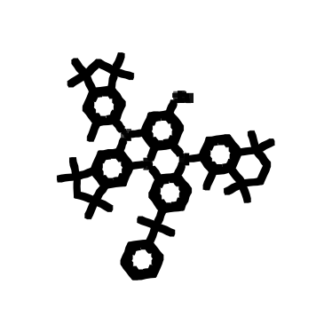 Cc1cc2c(cc1N1c3cc4c(cc3B3c5cc(C(C)(C)c6ccccc6)ccc5N(c5ccc6c(c5C)C(C)(C)CCC6(C)C)c5cc(C(C)(C)C)cc1c53)C(C)(C)CC4(C)C)C(C)(C)CC2(C)C